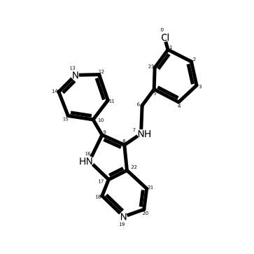 Clc1cccc(CNc2c(-c3ccncc3)[nH]c3cnccc23)c1